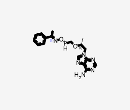 C/C(=N\OPCO[C@H](C)Cn1cnc2c(N)ncnc21)c1ccccc1